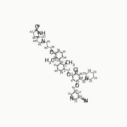 Cc1c(COc2cc(OCc3cncc(C#N)c3)c(CN3CCCCC3)cc2Cl)cccc1-c1cccc(OCCCN2CCC3(CCC(=O)N3)C2)c1C